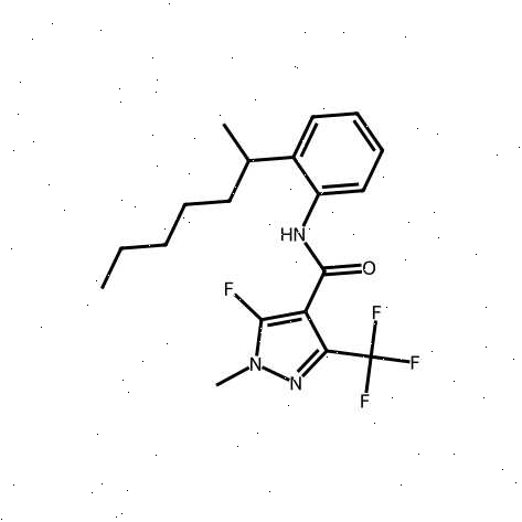 CCCCCC(C)c1ccccc1NC(=O)c1c(C(F)(F)F)nn(C)c1F